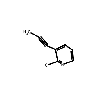 CC#Cc1cccnc1Cl